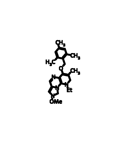 CCN1CC(C)=C(OCc2c(C)cc(C)cc2C)C2=C1N1CN(OC)C=C1C=N2